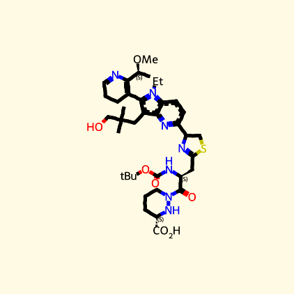 CCn1c(C2=C([C@H](C)OC)N=CCC2)c(CC(C)(C)CO)c2nc(C3CSC(C[C@H](NC(=O)OC(C)(C)C)C(=O)N4CCC[C@@H](C(=O)O)N4)=N3)ccc21